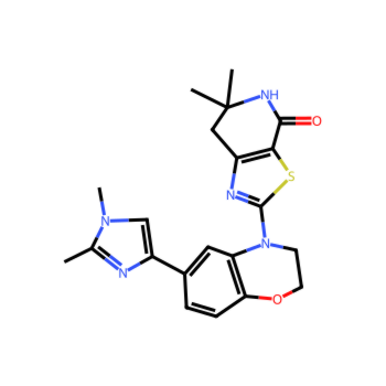 Cc1nc(-c2ccc3c(c2)N(c2nc4c(s2)C(=O)NC(C)(C)C4)CCO3)cn1C